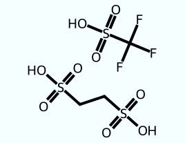 O=S(=O)(O)C(F)(F)F.O=S(=O)(O)CCS(=O)(=O)O